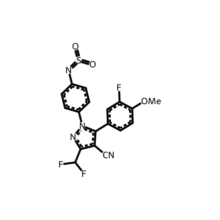 COc1ccc(-c2c(C#N)c(C(F)F)nn2-c2ccc(N=S(=O)=O)cc2)cc1F